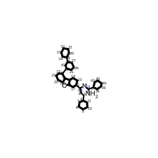 N/C(=N\C(=C/Cc1ccccc1)c1ccc2c(c1)oc1cccc(-c3cccc(-c4ccccc4)c3)c12)c1ccccc1